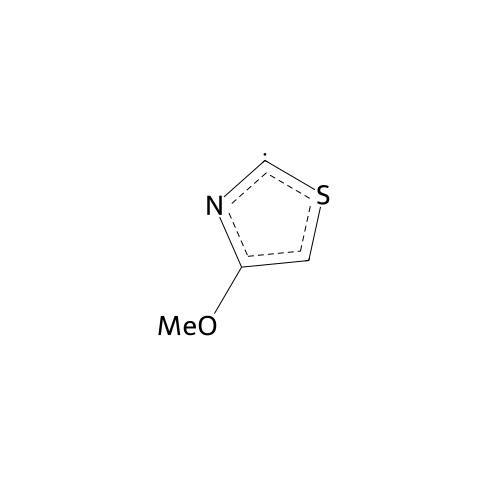 COc1cs[c]n1